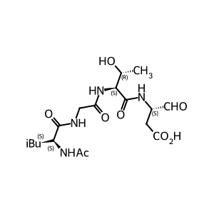 CC[C@H](C)[C@H](NC(C)=O)C(=O)NCC(=O)N[C@H](C(=O)N[C@H](C=O)CC(=O)O)[C@@H](C)O